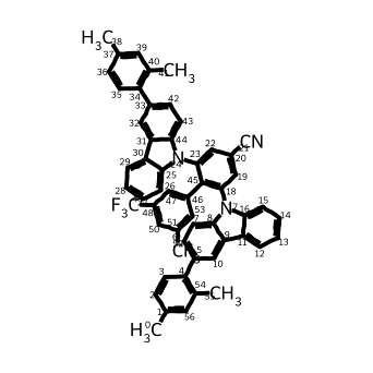 Cc1ccc(-c2ccc3c(c2)c2ccccc2n3-c2cc(C#N)cc(-n3c4ccccc4c4cc(-c5ccc(C)cc5C)ccc43)c2-c2cc(C(F)(F)F)cc(C(F)(F)F)c2)c(C)c1